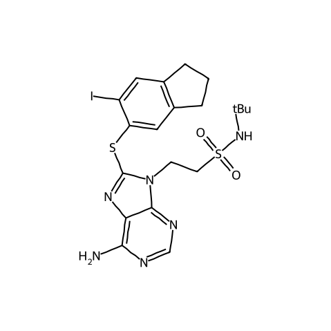 CC(C)(C)NS(=O)(=O)CCn1c(Sc2cc3c(cc2I)CCC3)nc2c(N)ncnc21